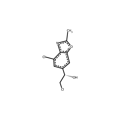 Cc1nc2c(Cl)cc([C@H](O)CCl)cc2o1